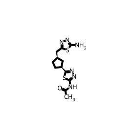 CC(=O)Nc1nnc([C@H]2CC[C@@H](Cc3nnc(N)s3)C2)s1